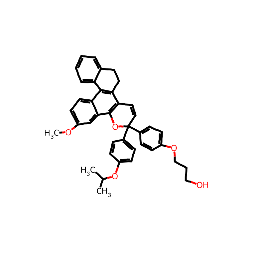 COc1ccc2c3c(c4c(c2c1)OC(c1ccc(OCCCO)cc1)(c1ccc(OC(C)C)cc1)C=C4)CCc1ccccc1-3